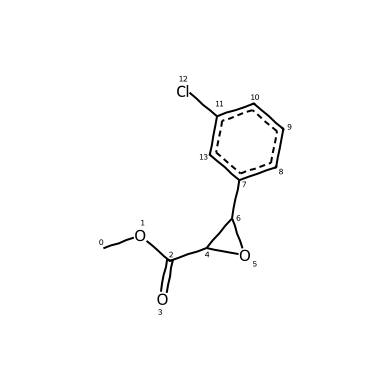 COC(=O)C1OC1c1cccc(Cl)c1